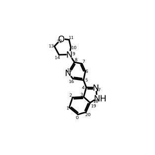 c1ccc2c(-c3ccc(N4CCOCC4)nc3)n[nH]c2c1